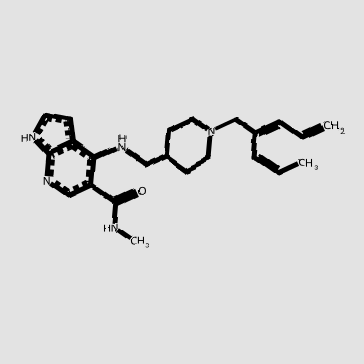 C=C/C=C(\C=C/C)CN1CCC(CNc2c(C(=O)NC)cnc3[nH]ccc23)CC1